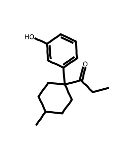 CCC(=O)C1(c2cccc(O)c2)CCC(C)CC1